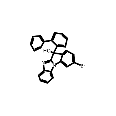 OC1(c2ccccc2-c2ccccc2)c2ccc(Br)cc2-n2c1nc1ccccc12